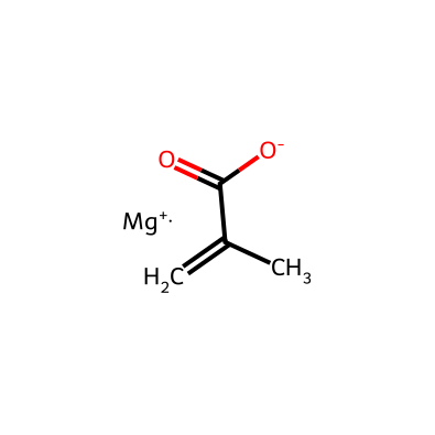 C=C(C)C(=O)[O-].[Mg+]